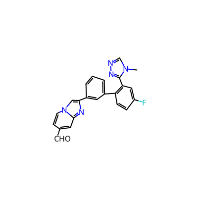 Cn1cnnc1-c1cc(F)ccc1-c1cccc(-c2cn3ccc(C=O)cc3n2)c1